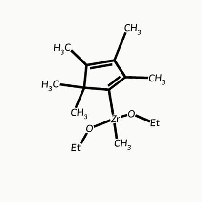 CC[O][Zr]([CH3])([O]CC)[C]1=C(C)C(C)=C(C)C1(C)C